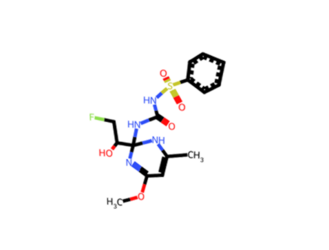 COC1=NC(NC(=O)NS(=O)(=O)c2ccccc2)(C(O)CF)NC(C)=C1